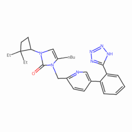 CCCCc1cn(C2CCC2(CC)CC)c(=O)n1Cc1ccc(-c2ccccc2-c2nnn[nH]2)cn1